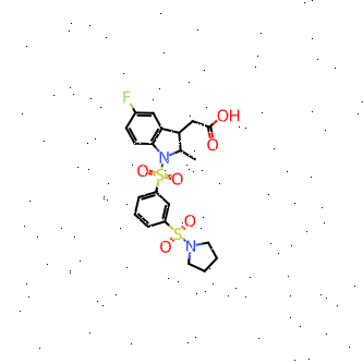 CC1C(CC(=O)O)c2cc(F)ccc2N1S(=O)(=O)c1cccc(S(=O)(=O)N2CCCC2)c1